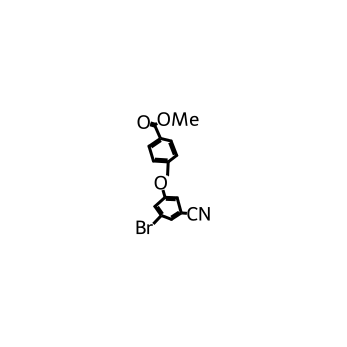 COC(=O)c1ccc(COc2cc(Br)cc(C#N)c2)cc1